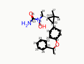 CC(Oc1ccc([C@H]2[C@H](C(C)N(O)C(N)=O)C2(C)C)cc1)c1ccccc1